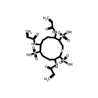 C=CC(=O)NC1CCC(NC(=O)C=C)C(S(=O)(=O)O)CCC(S(=O)(=O)O)C(NC(=O)C=C)CCC1S(=O)(=O)O